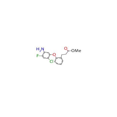 COC(=O)CCc1ccccc1Oc1cc(N)c(F)cc1Cl